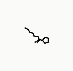 CCCCCCC(=N)C1[CH]CCC1